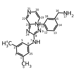 Cc1cc(C)cc(NC2=N[N+]3(c4cccc(CN)c4)C=CN=CC3=N2)c1